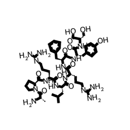 CC(C)C[C@H](NC(=O)[C@H](CCCN=C(N)N)NC(=O)[C@@H]1CCCN1C(=O)[C@H](C)N)C(=O)N[C@@H](CCCN=C(N)N)C(=O)N[C@@H](Cc1ccccc1)C(=O)N[C@@H](Cc1ccc(O)cc1)C(=O)N[C@@H](CO)C(=O)O